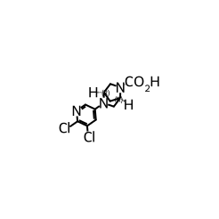 O=C(O)N1C[C@H]2C[C@@H]1CN2c1cnc(Cl)c(Cl)c1